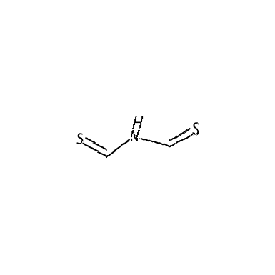 S=CNC=S